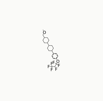 COCC1CCC(C2CCC(c3ccc(OC(F)(F)C(F)C(F)(F)F)cc3)CC2)CC1